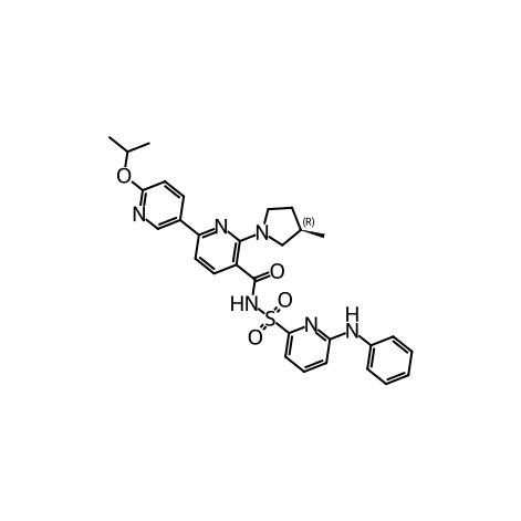 CC(C)Oc1ccc(-c2ccc(C(=O)NS(=O)(=O)c3cccc(Nc4ccccc4)n3)c(N3CC[C@@H](C)C3)n2)cn1